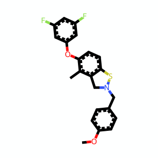 COc1ccc(CN2Cc3c(ccc(Oc4cc(F)cc(F)c4)c3C)S2)cc1